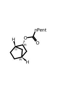 CCCCCC(=O)O[C@@H]1C[C@@H]2CC[C@H]1C2